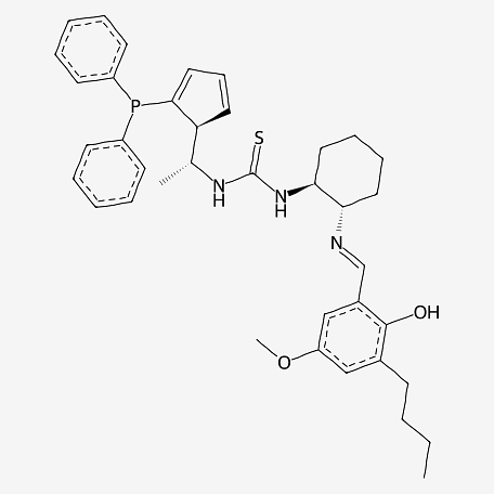 CCCCc1cc(OC)cc(/C=N/[C@H]2CCCC[C@@H]2NC(=S)N[C@H](C)[C@@H]2C=CC=C2P(c2ccccc2)c2ccccc2)c1O